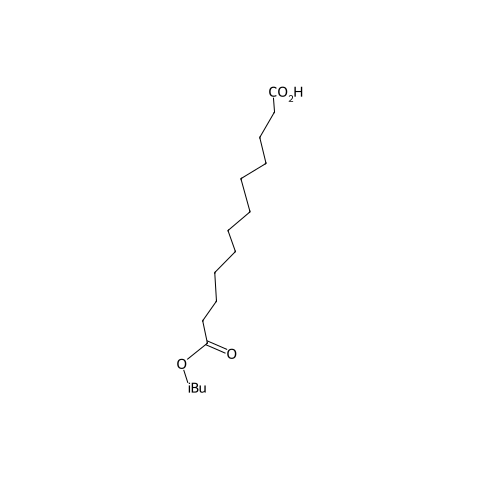 CCC(C)OC(=O)CCCCCCCCCCC(=O)O